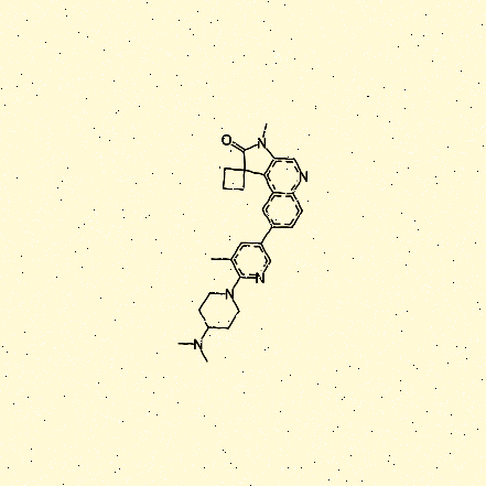 Cc1cc(-c2ccc3ncc4c(c3c2)C2(CCC2)C(=O)N4C)cnc1N1CCC(N(C)C)CC1